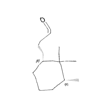 C[C@@H]1CCC[C@H](CC=O)C1(C)C